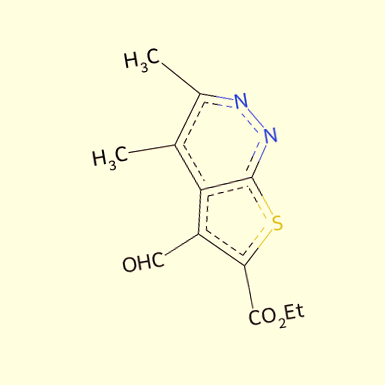 CCOC(=O)c1sc2nnc(C)c(C)c2c1C=O